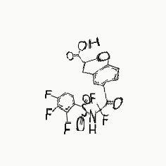 O=C(O)C1Cc2cc(C(=O)C(F)(F)NS(=O)(=O)c3ccc(F)c(F)c3F)ccc2O1